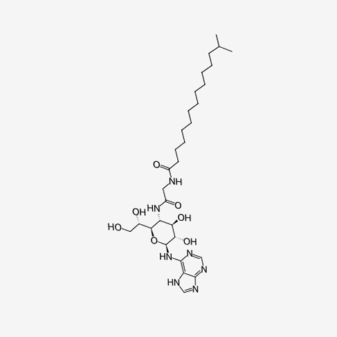 CC(C)CCCCCCCCCCCCC(=O)NCC(=O)N[C@@H]1[C@@H](O)[C@H](O)[C@@H](Nc2ncnc3nc[nH]c23)O[C@H]1[C@@H](O)CO